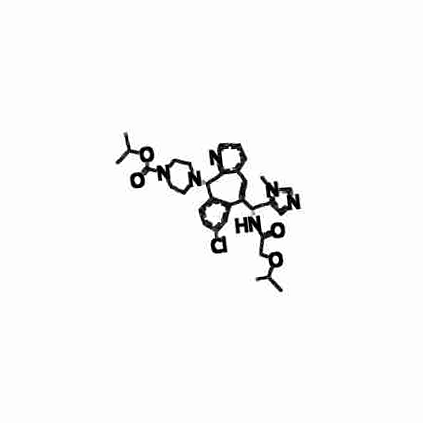 CC(C)OCC(=O)N[C@H](C1=Cc2cccnc2[C@@H](N2CCN(C(=O)OC(C)C)CC2)c2ccc(Cl)cc21)c1cncn1C